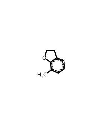 Cc1ccnc2c1OCC2